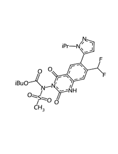 CC(C)COC(=O)N(n1c(=O)[nH]c2cc(C(F)F)c(-c3ccnn3C(C)C)cc2c1=O)S(C)(=O)=O